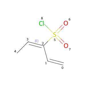 C=C/C(=C\C)S(=O)(=O)Cl